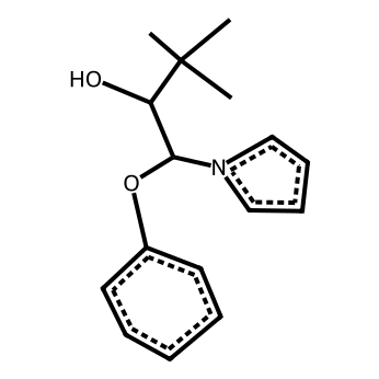 CC(C)(C)C(O)C(Oc1ccccc1)n1cccc1